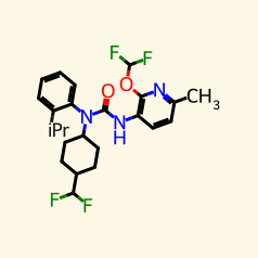 Cc1ccc(NC(=O)N(c2ccccc2C(C)C)C2CCC(C(F)F)CC2)c(OC(F)F)n1